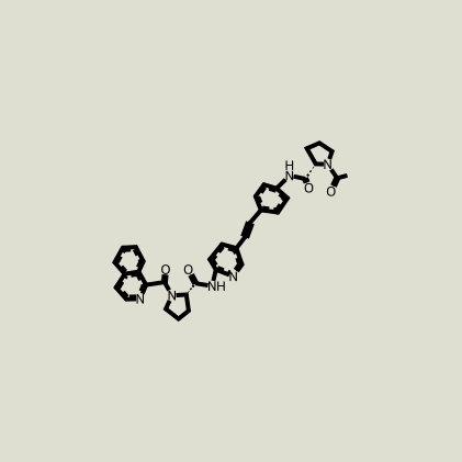 CC(=O)N1CCC[C@H]1C(=O)Nc1ccc(C#Cc2ccc(NC(=O)[C@@H]3CCCN3C(=O)c3nccc4ccccc34)nc2)cc1